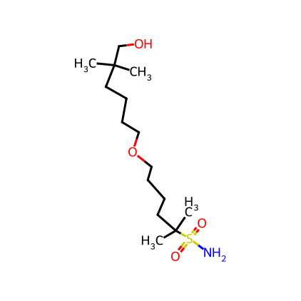 CC(C)(CO)CCCCOCCCCC(C)(C)S(N)(=O)=O